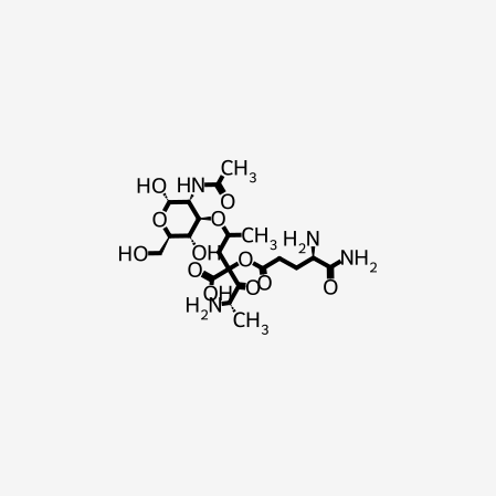 CC(=O)N[C@@H]1[C@@H](OC(C)CC(OC(=O)CC[C@@H](N)C(N)=O)(C(=O)O)C(=O)[C@H](C)N)[C@H](O)[C@@H](CO)O[C@@H]1O